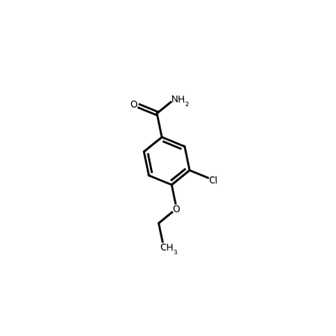 CCOc1ccc(C(N)=O)cc1Cl